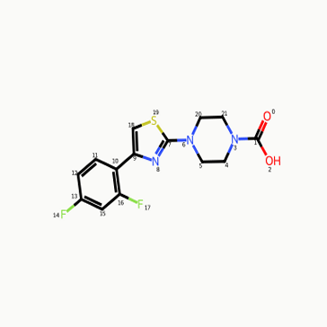 O=C(O)N1CCN(c2nc(-c3ccc(F)cc3F)cs2)CC1